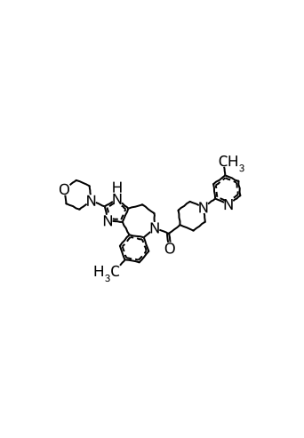 Cc1ccnc(N2CCC(C(=O)N3CCc4[nH]c(N5CCOCC5)nc4-c4cc(C)ccc43)CC2)c1